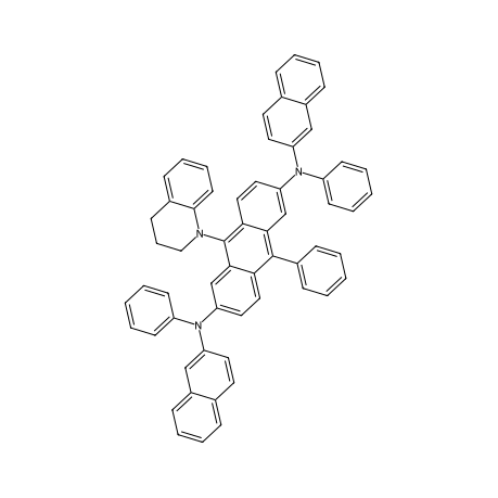 c1ccc(-c2c3cc(N(c4ccccc4)c4ccc5ccccc5c4)ccc3c(N3CCCc4ccccc43)c3cc(N(c4ccccc4)c4ccc5ccccc5c4)ccc23)cc1